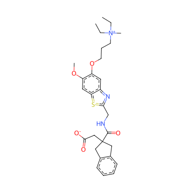 CC[N+](C)(CC)CCCOc1cc2nc(CNC(=O)C3(CC(=O)[O-])Cc4ccccc4C3)sc2cc1OC